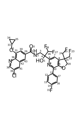 O=C(NCC(O)(c1cc2c(c(-c3ccc(F)cc3)n1)OCC2(CF)CF)C(F)F)c1cc(OC2CC2)c2ncc(Cl)cc2c1